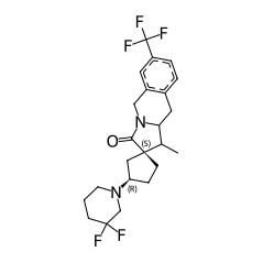 CC1C2Cc3ccc(C(F)(F)F)cc3CN2C(=O)[C@]12CC[C@@H](N1CCCC(F)(F)C1)C2